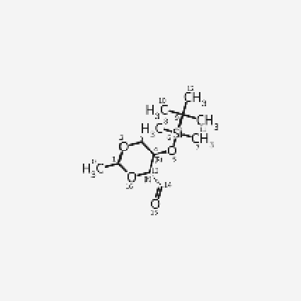 CC1OC[C@@H](O[Si](C)(C)C(C)(C)C)[C@H](C=O)O1